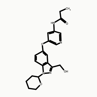 CCC(=O)Nc1cncc(Oc2ccc3c(c2)c(CO)nn3C2CCCCO2)c1